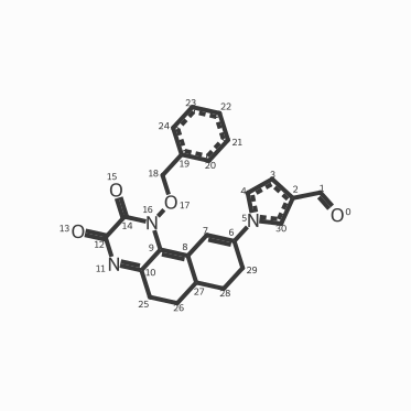 O=Cc1ccn(C2=CC3=C4C(=NC(=O)C(=O)N4OCc4ccccc4)CCC3CC2)c1